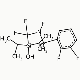 CC(C)[Si](O)(C(C)C)C(F)(F)N(F)C(=O)c1cccc(F)c1F